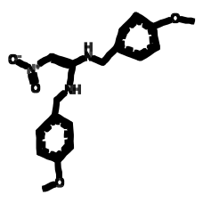 COc1ccc(CNC(=C[N+](=O)[O-])NCc2ccc(OC)cc2)cc1